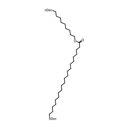 CCCCCCCCCCCCCCCCCCCCCCCCCCCCCCC(=O)OCCCCCCCCCCCCCCCCCCC